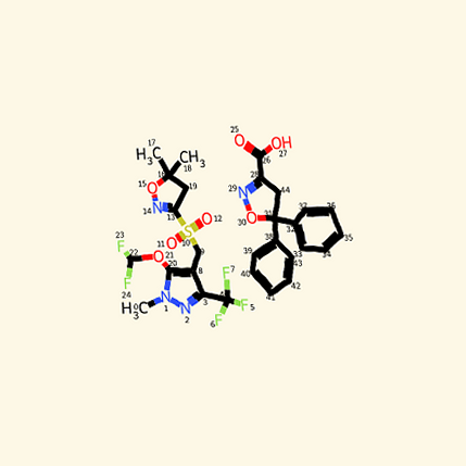 Cn1nc(C(F)(F)F)c(CS(=O)(=O)C2=NOC(C)(C)C2)c1OC(F)F.O=C(O)C1=NOC(c2ccccc2)(c2ccccc2)C1